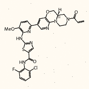 C=CC(=O)N1CCN2c3ncc(-c4ccc(OC)c(Nc5ncc(C(=O)Nc6c(F)cccc6Cl)s5)n4)cc3OC[C@@H]2C1